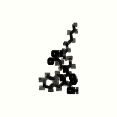 CCCCCCCC[C@H](CN(CC)C(=O)N1Cc2ccccc2C[C@H]1C(=O)O)C(=O)O